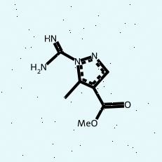 COC(=O)c1cnn(C(=N)N)c1C